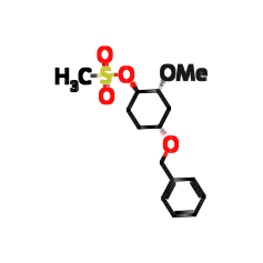 CO[C@@H]1C[C@H](OCc2ccccc2)CC[C@H]1OS(C)(=O)=O